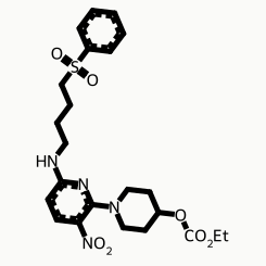 CCOC(=O)OC1CCN(c2nc(NCCCCS(=O)(=O)c3ccccc3)ccc2[N+](=O)[O-])CC1